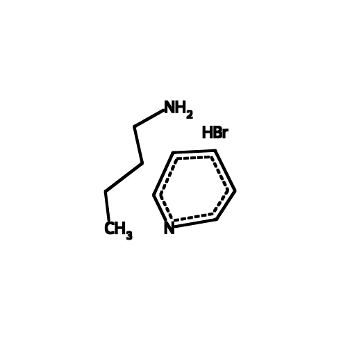 Br.CCCCN.c1ccncc1